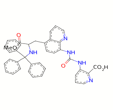 COC(=O)C(Cc1ccc(NC(=O)Nc2cccnc2C(=O)O)c2ncccc12)NC(c1ccccc1)(c1ccccc1)c1ccccc1